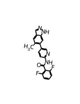 Cc1cc2cn[nH]c2cc1-c1ccc(NC(=O)c2c(F)cccc2F)nc1